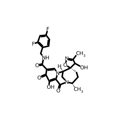 CC1=NO[C@@]2(CC[C@H](C)N3C[C@H]2n2cc(C(=O)NCc4ccc(F)cc4F)c(=O)c(O)c2C3=O)C1O